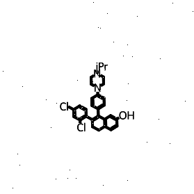 CC(C)N1CCN(c2ccc(C3=C(c4ccc(Cl)cc4Cl)CCc4ccc(O)cc43)cc2)CC1